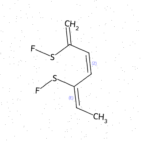 C=C(/C=C\C(=C/C)SF)SF